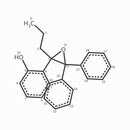 CCCC1(c2ccccc2O)OC1(c1ccccc1)c1ccccc1